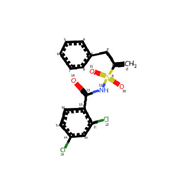 C=C(Cc1ccccc1)S(=O)(=O)NC(=O)c1ccc(Cl)cc1Cl